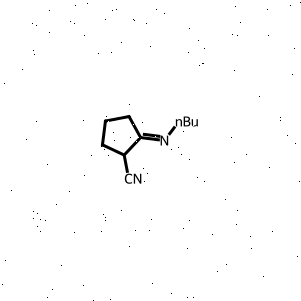 CCCC/N=C1\CCCC1C#N